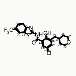 O=C(Nc1nc2ccc(C(F)(F)F)cc2s1)c1cc(Cl)cc(CC2CCOCC2)c1O